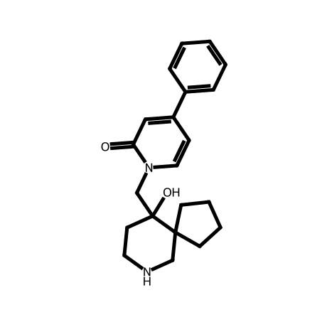 O=c1cc(-c2ccccc2)ccn1CC1(O)CCNCC12CCCC2